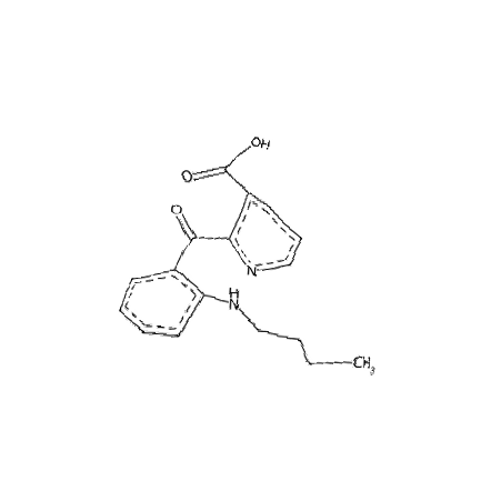 CCCCNc1ccccc1C(=O)c1ncccc1C(=O)O